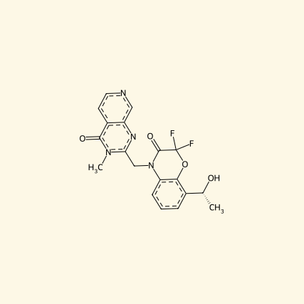 C[C@@H](O)c1cccc2c1OC(F)(F)C(=O)N2Cc1nc2cnccc2c(=O)n1C